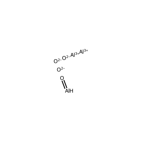 [Al+3].[Al+3].[O-2].[O-2].[O-2].[O]=[AlH]